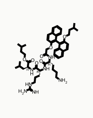 CC(C)CCOC(=O)[C@H](CC(C)C)NC(=O)[C@@H](CCCNC(=N)N)NC(=O)[C@@H](CCCCN)NC(=O)COc1ccc2ccccc2c1-c1c(OCCC(C)C)ccc2ccccc12